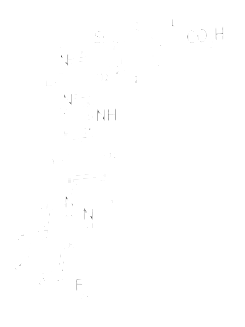 O=C(O)Cc1ccc2c(c1)sc1ncnc(Nc3ccc4c(cnn4Cc4cccc(F)c4)c3)c12